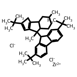 CC1CCC2C(C1)C1=C(C=C(C(C)(C)C)C1)C2(C)C1c2cc(C(C)(C)C)ccc2-c2ccc(C(C)(C)C)cc21.[Cl-].[Cl-].[Zr+2]